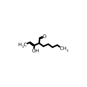 CC=C(O)C(C=O)CCCCC